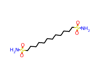 NS(=O)(=O)CCCCCCCCCCCCS(N)(=O)=O